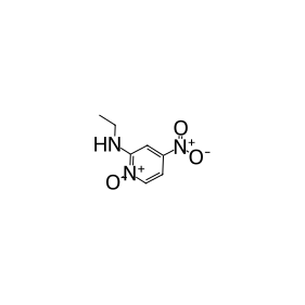 CCNc1cc([N+](=O)[O-])cc[n+]1[O-]